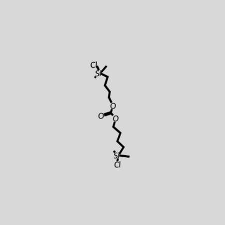 C[Si](C)(Cl)CCCCOC(=O)OCCCC[Si](C)(C)Cl